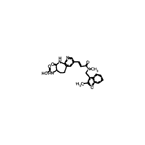 Cc1oc2ccccc2c1CN(C)C(=O)C=Cc1cnc2c(c1)CCC(NC(=O)O)C(=O)N2